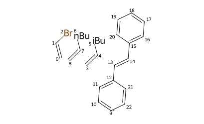 C=CBr.C=CC(C)CC.[CH2]CCCC=C.[c]1ccc(C=Cc2ccccc2)cc1